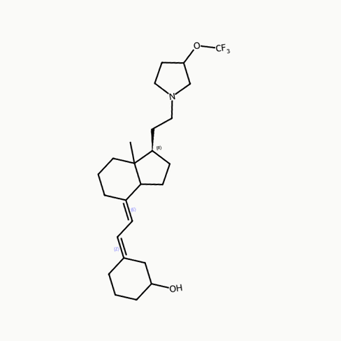 CC12CCC/C(=C\C=C3\CCCC(O)C3)C1CC[C@@H]2CCN1CCC(OC(F)(F)F)C1